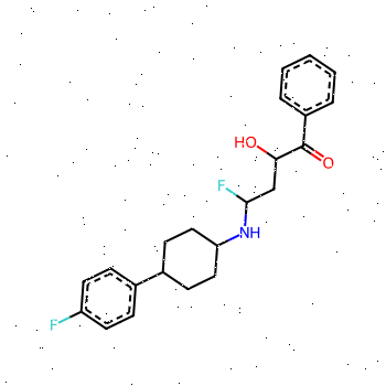 O=C(c1ccccc1)C(O)CC(F)NC1CCC(c2ccc(F)cc2)CC1